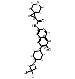 O=C(Nc1cc2cc(N3CCC(N4CC(F)(F)C4)CC3)c(Cl)cc2cn1)C1CC12CCOCC2